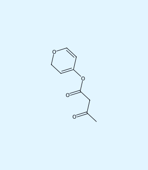 CC(=O)CC(=O)OC1=CCOC=C1